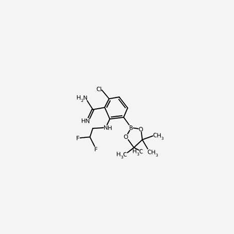 CC1(C)OB(c2ccc(Cl)c(C(=N)N)c2NCC(F)F)OC1(C)C